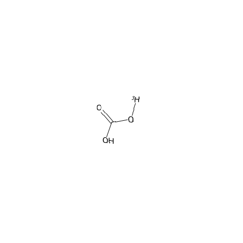 [3H]OC(=O)O